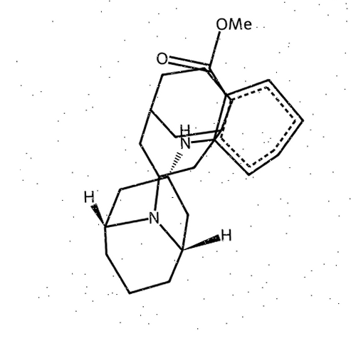 COC(=O)c1ccccc1N[C@H]1C[C@H]2CCC[C@@H](C1)N2C1CC2CCCC(C2)C1